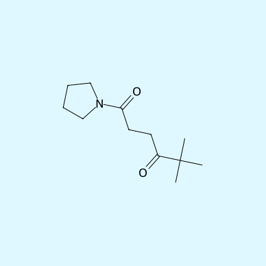 CC(C)(C)C(=O)CCC(=O)N1CCCC1